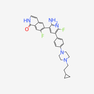 Nc1nc(F)c(-c2ccc(N3CCN(CCC4CC4)CC3)cc2)cc1-c1cc2cc[nH]c(=O)c2cc1F